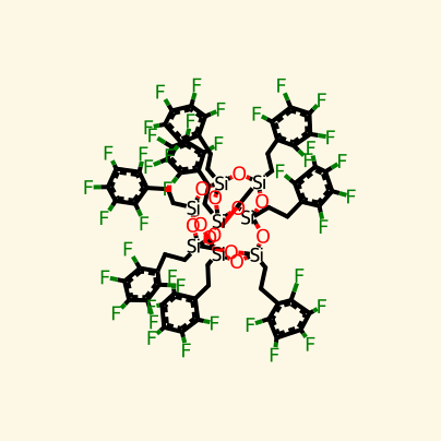 Fc1c(F)c(F)c(CC[Si]23O[Si]4(CCc5c(F)c(F)c(F)c(F)c5F)O[Si]5(CCc6c(F)c(F)c(F)c(F)c6F)O[Si](CCc6c(F)c(F)c(F)c(F)c6F)(O2)O[Si]2(CCc6c(F)c(F)c(F)c(F)c6F)O[Si](CCc6c(F)c(F)c(F)c(F)c6F)(O3)O[Si](CCc3c(F)c(F)c(F)c(F)c3F)(O4)O[Si](CCc3c(F)c(F)c(F)c(F)c3F)(O5)O2)c(F)c1F